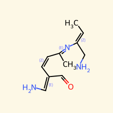 C\C=C(CN)/N=C(C)/C=C\C(C=O)=C/N